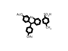 CC(=O)Oc1ccc(C(c2ccc(OC(C)=O)cc2)c2ccccc2[AsH2])cc1.Cc1ccc(S(=O)(=O)O)cc1